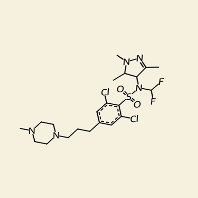 CC1=NN(C)C(C)C1N(C(F)F)S(=O)(=O)c1c(Cl)cc(CCCN2CCN(C)CC2)cc1Cl